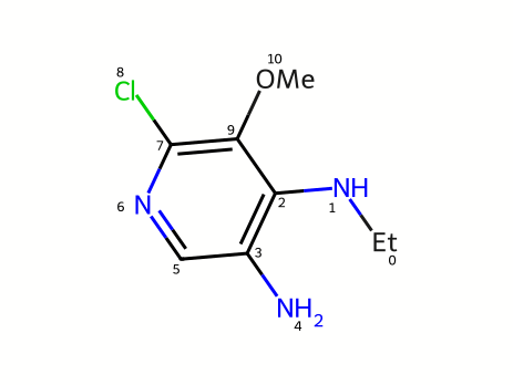 CCNc1c(N)cnc(Cl)c1OC